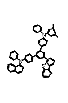 Cc1cc(C)cc(N(c2ccccc2)c2ccc(-c3cc(-c4ccc(N(c5ccccc5)c5cccc6ccccc56)cc4)cc(-c4cccc5c4sc4ccccc45)c3)cc2)c1